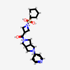 O=C(C1CN(S(=O)(=O)C2CCCCC2)C1)N1CC2CN(c3ccncc3)CC2C1